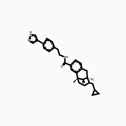 C[C@H]1[C@H]2Cc3ccc(C(=O)NCCc4ccc(-c5cn[nH]c5)cc4)cc3[C@@]1(C)CCC2CC1CC1